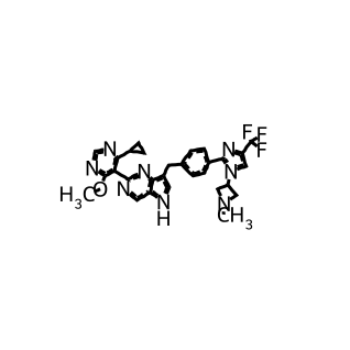 COc1ncnc(C2CC2)c1-c1ncc2[nH]cc(Cc3ccc(-c4nc(C(F)(F)F)cn4C4CN(C)C4)cc3)c2n1